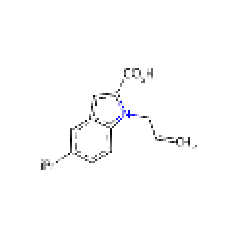 C=CCn1c(C(=O)O)cc2cc(C(C)C)ccc21